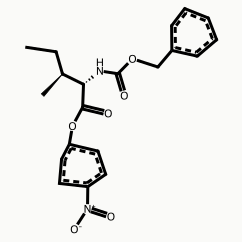 CC[C@H](C)[C@H](NC(=O)OCc1ccccc1)C(=O)Oc1ccc([N+](=O)[O-])cc1